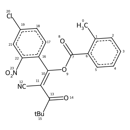 Cc1ccccc1C(=O)O/C(=C(/C#N)C(=O)C(C)(C)C)c1ccc(Cl)cc1[N+](=O)[O-]